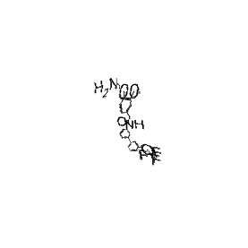 COc1cc(CC(=O)Nc2cccc(-c3cccc(OC(F)(F)F)c3)c2)ccc1OCCN